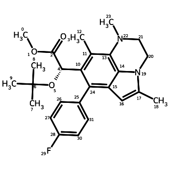 COC(=O)[C@@H](OC(C)(C)C)c1c(C)c2c3c(cc(C)n3CCN2C)c1-c1ccc(F)cc1